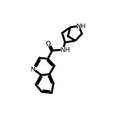 O=C(NC1CC2CC1CN2)c1cnc2ccccc2c1